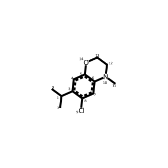 CC(C)c1cc2c(cc1Cl)N(C)CCO2